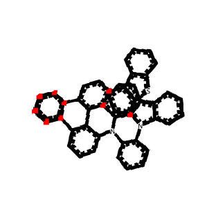 c1ccc(-c2ccccc2-c2c(-c3ccccc3)cccc2N(c2ccc3c(c2)sc2ccccc23)c2ccccc2-n2c3ccccc3c3ccccc32)cc1